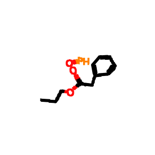 CCCOC(=O)Cc1ccccc1.O=P